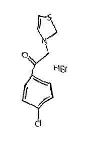 Br.O=C(CN1C=CSC1)c1ccc(Cl)cc1